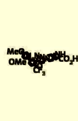 COc1ccc(-c2ccc([C@@H](Oc3cc(N4CCC5(CC4)CNC(C(=O)O)C5)nc(N)n3)C(F)(F)F)cc2)c(OC)c1